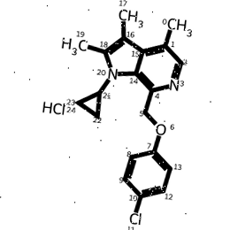 Cc1cnc(COc2ccc(Cl)cc2)c2c1c(C)c(C)n2C1CC1.Cl